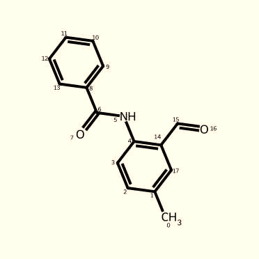 Cc1ccc(NC(=O)c2ccccc2)c(C=O)c1